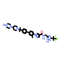 Cc1cc(-c2ccc(C(C)(C)N3CCC(N4CCNCC4)CC3)cc2)ccc1-n1cc(C(=O)NCc2nc(C(C)(C)C(F)(F)F)n[nH]2)cn1